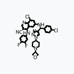 N#Cc1cnc2c(Cl)cc(N[C@@H](c3ccc(Cl)cc3)c3cn(C4CCN(C5COC5)CC4)nn3)cc2c1Nc1ccc(F)c(F)c1